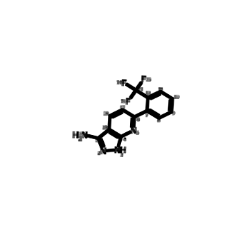 Nc1n[nH]c2nc(-c3ccccc3C(F)(F)F)ccc12